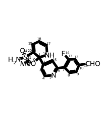 COC1(c2ccnc(-c3ccc(C=O)cc3F)c2)NC=CC=C1S(N)(=O)=O